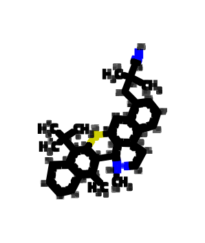 Cc1c2c(c(C(C)(C)C)c3ccccc13)Sc1cc3c(CC(C)(C)C#N)cccc3c3cc[n+](C)c-2c13